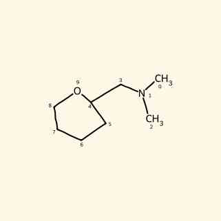 CN(C)CC1CCCCO1